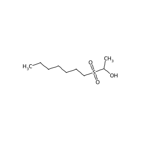 CCCCCCCS(=O)(=O)C(C)O